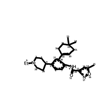 CCN1CCC(c2ccc(NC(=O)c3cc(C)on3)c(C3=CCC(C)(C)CC3)c2)CC1